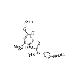 COc1cc(OCCO)c(Cl)cc1NC(=O)N(S)c1ccc(NC(C)=O)cc1